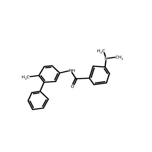 Cc1ccc(NC(=O)c2cccc(N(C)C)c2)cc1-c1ccccc1